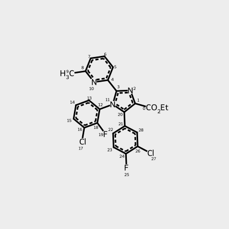 CCOC(=O)c1nc(-c2cccc(C)n2)n(-c2cccc(Cl)c2F)c1-c1ccc(F)c(Cl)c1